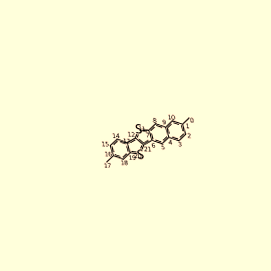 Cc1ccc2cc3c(cc2c1)sc1c2ccc(C)cc2sc31